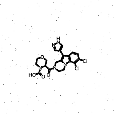 O=C(C1COCCN1C(=O)O)N1CCn2c(c(-c3cn[nH]c3)c3ccc(Cl)c(Cl)c32)C1